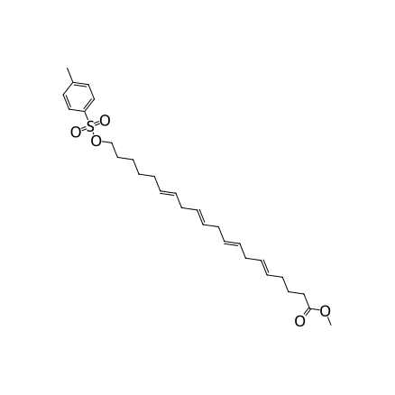 COC(=O)CCC/C=C/C/C=C/C/C=C/C/C=C/CCCCCOS(=O)(=O)c1ccc(C)cc1